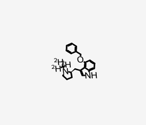 [2H]C([2H])([2H])N1CCC[C@@H]1Cc1c[nH]c2cccc(OCc3ccccc3)c12